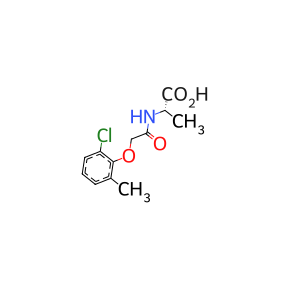 Cc1cccc(Cl)c1OCC(=O)N[C@@H](C)C(=O)O